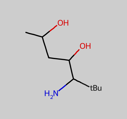 CC(O)CC(O)C(N)C(C)(C)C